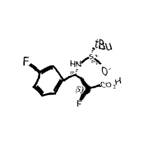 CC(C)(C)[S@+]([O-])N[C@@H](c1cccc(F)c1)[C@H](F)C(=O)O